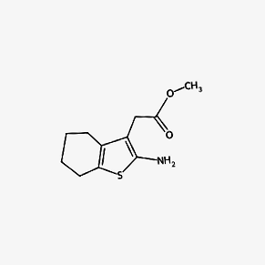 COC(=O)Cc1c(N)sc2c1CCCC2